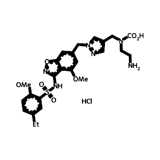 CCc1ccc(OC)c(S(=O)(=O)Nc2noc3cc(Cn4cc(CN(CCN)C(=O)O)cn4)cc(OC)c23)c1.Cl